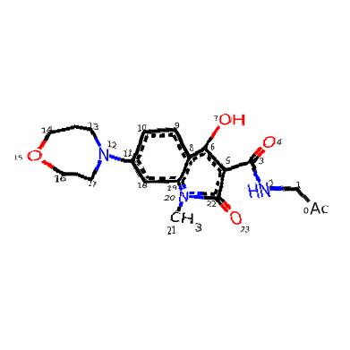 CC(=O)CNC(=O)c1c(O)c2ccc(N3CCOCC3)cc2n(C)c1=O